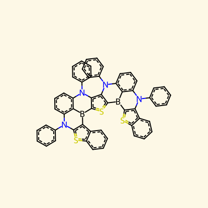 c1ccc(N2c3cccc4c3B(c3sc5c(c3N4c3ccccc3)N(c3ccccc3)c3cccc4c3B5c3sc5ccccc5c3N4c3ccccc3)c3c2sc2ccccc32)cc1